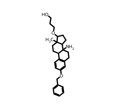 CC12CCC3c4ccc(OCc5ccccc5)cc4CCC3(N)C1CCC2OCCCO